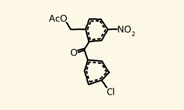 CC(=O)OCc1ccc([N+](=O)[O-])cc1C(=O)c1ccc(Cl)cc1